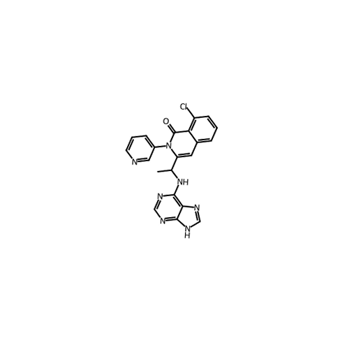 CC(Nc1ncnc2[nH]cnc12)c1cc2cccc(Cl)c2c(=O)n1-c1cccnc1